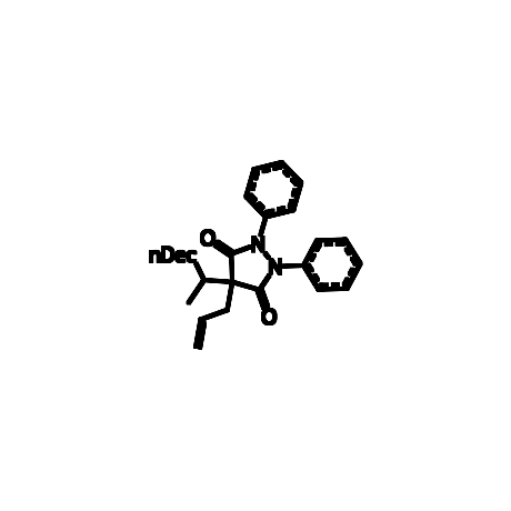 C=CCC1(C(C)CCCCCCCCCC)C(=O)N(c2ccccc2)N(c2ccccc2)C1=O